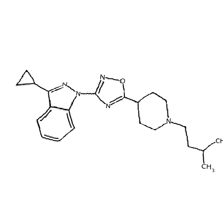 CC(C)CCN1CCC(c2nc(-n3nc(C4CC4)c4ccccc43)no2)CC1